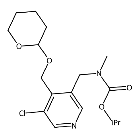 CC(C)OC(=O)N(C)Cc1cncc(Cl)c1COC1CCCCO1